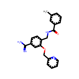 Cc1cccc(C(=O)NCc2ccc(C(=N)N)cc2OCc2ccccn2)c1